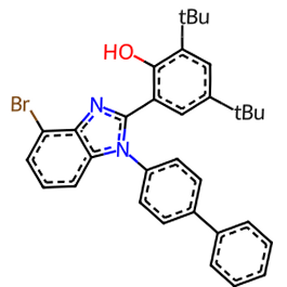 CC(C)(C)c1cc(-c2nc3c(Br)cccc3n2-c2ccc(-c3ccccc3)cc2)c(O)c(C(C)(C)C)c1